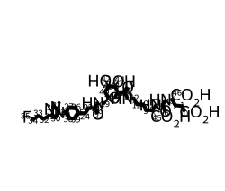 O=C(O)CC[C@H](NC(=O)N[C@@H](CCCCNC(=O)C1O[C@@H](CNC(=O)CCc2ccc(-n3cc(CCCF)nn3)cc2)C[C@@H](O)[C@H]1O)C(=O)O)C(=O)O